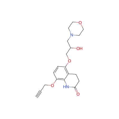 C#CCOc1ccc(OCC(O)CN2CCOCC2)c2c1NC(=O)CC2